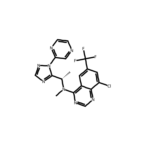 C[C@@H](c1ncnn1-c1cnccn1)N(C)c1ncnc2c(Cl)cc(C(F)(F)F)cc12